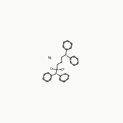 ClC(Cl)(CCCP(c1ccccc1)c1ccccc1)P(c1ccccc1)c1ccccc1.[Ni]